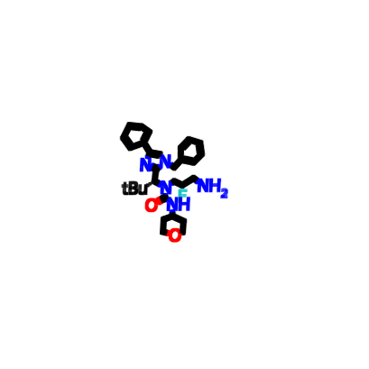 CC(C)(C)[C@H](c1nc(-c2ccccc2)cn1Cc1ccccc1)N(C[C@@H](F)CN)C(=O)NC1CCOCC1